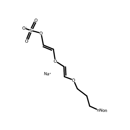 CCCCCCCCCCCCO/C=C/O/C=C/OS(=O)(=O)[O-].[Na+]